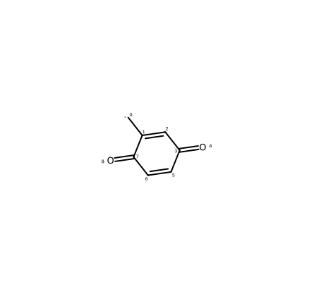 [CH2]C1=CC(=O)C=CC1=O